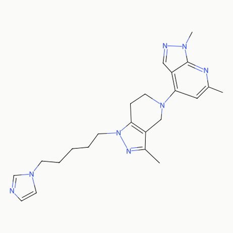 Cc1cc(N2CCc3c(c(C)nn3CCCCCn3ccnc3)C2)c2cnn(C)c2n1